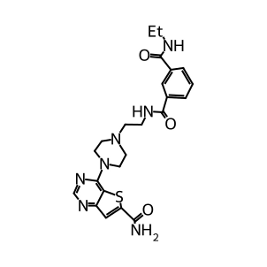 CCNC(=O)c1cccc(C(=O)NCCN2CCN(c3ncnc4cc(C(N)=O)sc34)CC2)c1